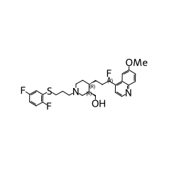 COc1ccc2nccc([C@H](F)CC[C@@H]3CCN(CCCSc4cc(F)ccc4F)C[C@@H]3CO)c2c1